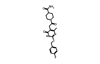 Cc1nc(SCc2ccc(F)cc2)[nH]c(=O)c1CC(=O)N1CCC(C(N)=O)CC1